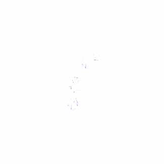 O=C(NCc1ccn2ccnc2c1)c1ccc(C2CCN(C(=O)Cc3ccccc3)CC2)cc1